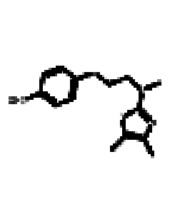 Cc1nc(N(C)CCOc2ccc(C=O)cc2)oc1C